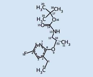 CCc1cc(F)cnc1O[C@@H](C)CNC(=O)OC(C)(C)C